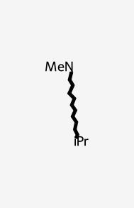 CNCCCCCCCCCCCC(C)C